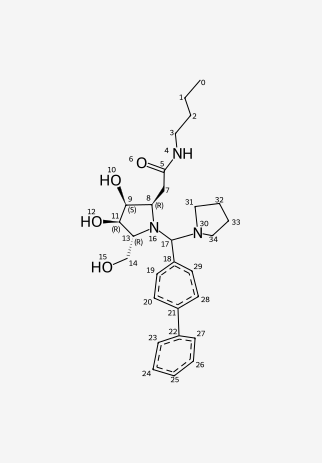 CCCCNC(=O)C[C@@H]1[C@H](O)[C@H](O)[C@@H](CO)N1C(c1ccc(-c2ccccc2)cc1)N1CCCC1